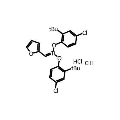 CC(C)(C)c1cc(Cl)ccc1[O][Ti](=[CH]c1ccco1)[O]c1ccc(Cl)cc1C(C)(C)C.Cl.Cl